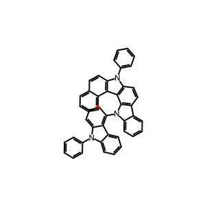 c1ccc(-n2c3ccccc3c3c(-n4c5ccccc5c5ccc6c(c7c8ccccc8ccc7n6-c6ccccc6)c54)cccc32)cc1